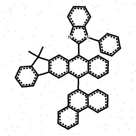 CC1(C)c2ccccc2-c2cc3c(-c4cc5ccccc5c5ccccc45)c4ccccc4c(-c4nc5ccccc5n4-c4ccccc4)c3cc21